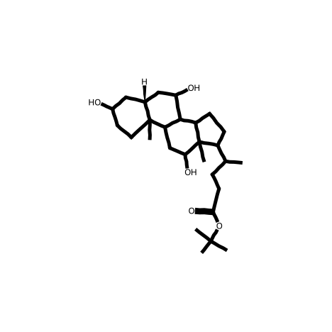 CC(CCC(=O)OC(C)(C)C)C1CCC2C3C(O)C[C@H]4CC(O)CCC4(C)C3CC(O)C12C